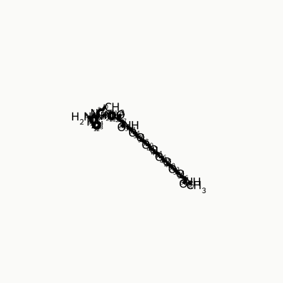 CCCCc1nc2c(N)nc3ccccc3c2n1CCN1CCN(C(=O)CCC(=O)NCCOCCOCCOCCOCCOCCOCCOCCOCCC(=O)NC)CC1